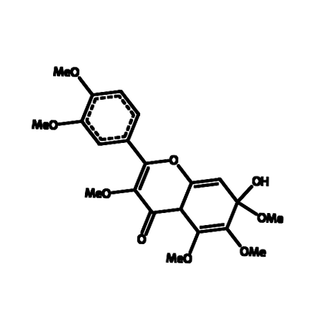 COC1=C(c2ccc(OC)c(OC)c2)OC2=CC(O)(OC)C(OC)=C(OC)C2C1=O